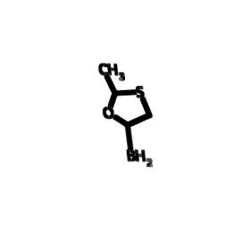 BC1CSC(C)O1